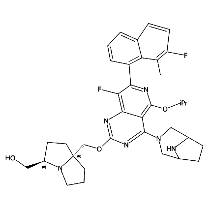 Cc1c(F)ccc2cccc(-c3nc(OC(C)C)c4c(N5CC6CCC(C5)N6)nc(OC[C@]56CCCN5[C@@H](CO)CC6)nc4c3F)c12